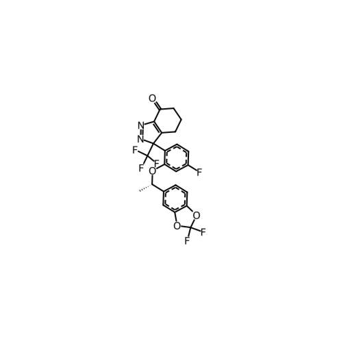 C[C@H](Oc1cc(F)ccc1C1(C(F)(F)F)N=NC2=C1CCCC2=O)c1ccc2c(c1)OC(F)(F)O2